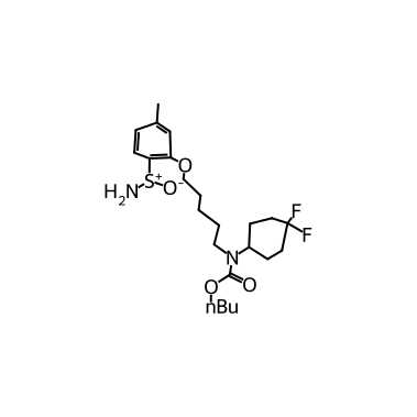 CCCCOC(=O)N(CCCCCOc1cc(C)ccc1[S+](N)[O-])C1CCC(F)(F)CC1